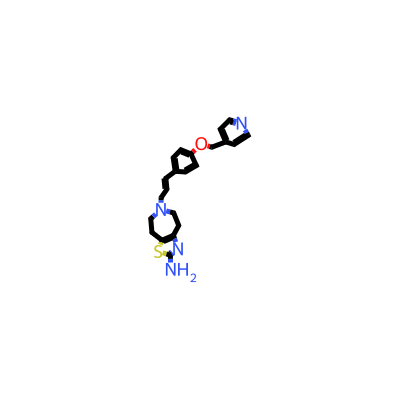 Nc1nc2c(s1)CCN(C/C=C/c1ccc(OCc3ccncc3)cc1)CC2